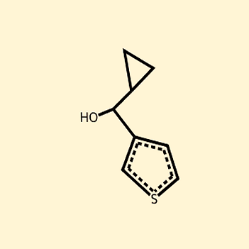 OC(c1ccsc1)C1CC1